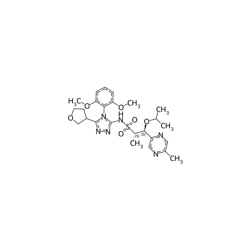 COc1cccc(OC)c1-n1c(NS(=O)(=O)[C@@H](C)[C@@H](OC(C)C)c2cnc(C)cn2)nnc1C1CCOC1